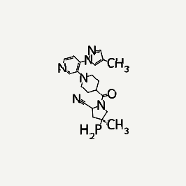 Cc1cnn(-c2ccncc2N2CCC(C(=O)N3CC(C)(P)CC3C#N)CC2)c1